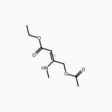 CCOC(=O)/C=C(/COC(C)=O)NC